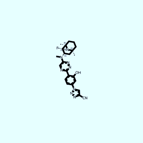 CN(c1cnc(-c2ccc(-n3cc(C#N)nn3)cc2O)nn1)[C@H]1C[C@]2(C)CCC[C@@](C)(N2)[C@H]1F